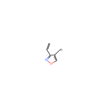 C=Cc1nocc1C(C)C